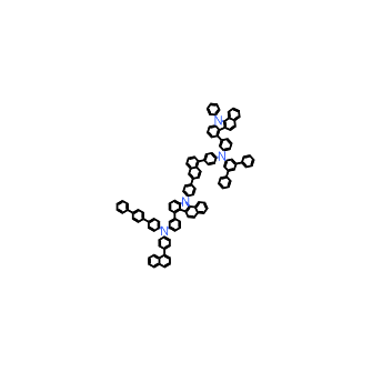 c1ccc(-c2ccc(-c3ccc(N(c4ccc(-c5cccc6ccccc56)cc4)c4cccc(-c5cccc6c5c5ccc7ccccc7c5n6-c5ccc(-c6ccc7c(-c8ccc(N(c9cc(-c%10ccccc%10)cc(-c%10ccccc%10)c9)c9cccc(-c%10cccc%11c%10c%10ccc%12ccccc%12c%10n%11-c%10ccccc%10)c9)cc8)cccc7c6)cc5)c4)cc3)cc2)cc1